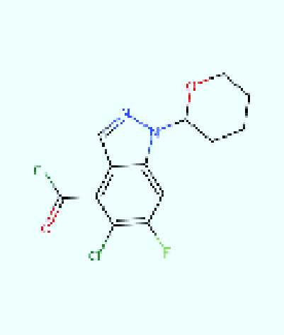 O=C(Cl)c1c(Cl)c(F)cc2c1cnn2C1CCCCO1